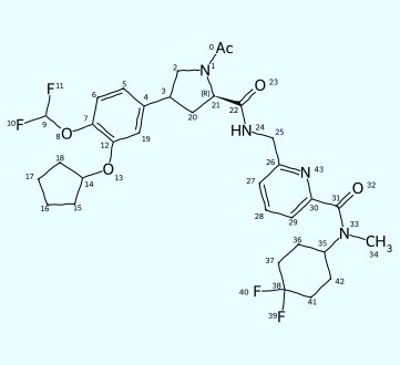 CC(=O)N1CC(c2ccc(OC(F)F)c(OC3CCCC3)c2)C[C@@H]1C(=O)NCc1cccc(C(=O)N(C)C2CCC(F)(F)CC2)n1